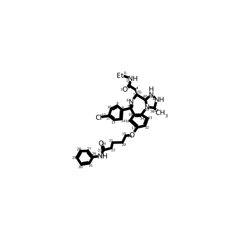 CCNC(=O)C[C@@H]1N=C(c2ccc(Cl)cc2)c2cc(OCCCCC(=O)Nc3ccccc3)ccc2N2C(C)NNC12